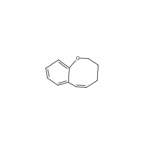 C1=C\c2ccccc2OCCC/1